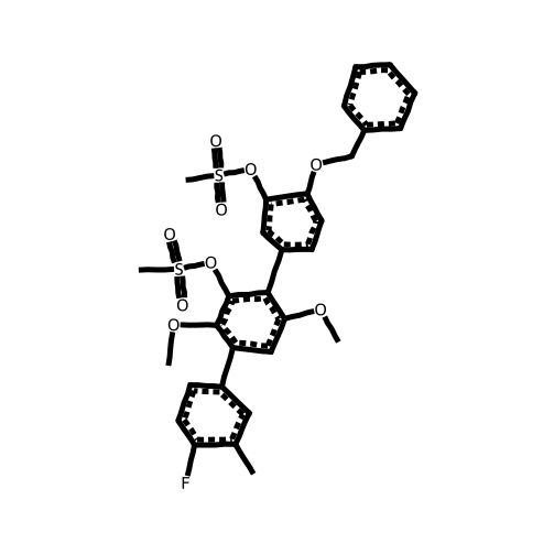 COc1cc(-c2ccc(F)c(C)c2)c(OC)c(OS(C)(=O)=O)c1-c1ccc(OCc2ccccc2)c(OS(C)(=O)=O)c1